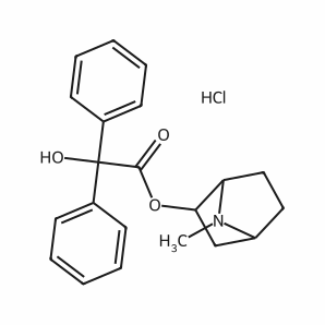 CN1C2CCC1C(OC(=O)C(O)(c1ccccc1)c1ccccc1)C2.Cl